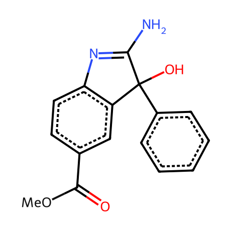 COC(=O)c1ccc2c(c1)C(O)(c1ccccc1)C(N)=N2